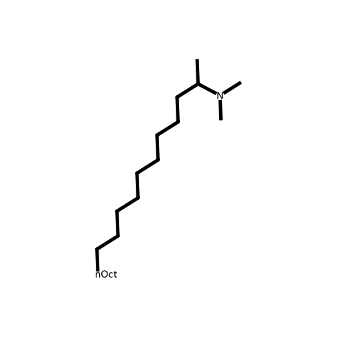 CCCCCCCCCCCCCCCCCC(C)N(C)C